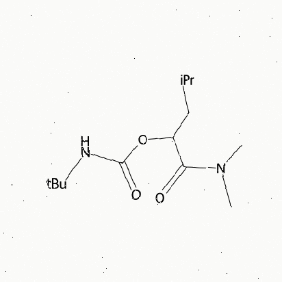 CC(C)CC(OC(=O)NC(C)(C)C)C(=O)N(C)C